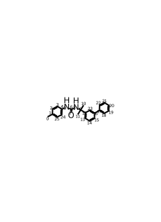 Cc1ccc(NC(=O)NC(C)(C)c2cccc(-c3ccccc3)c2)cc1